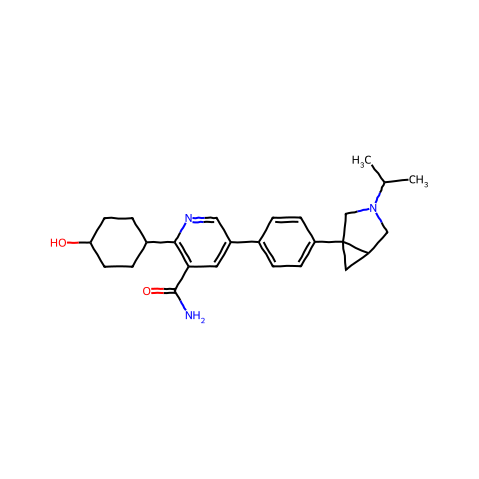 CC(C)N1CC2CC2(c2ccc(-c3cnc(C4CCC(O)CC4)c(C(N)=O)c3)cc2)C1